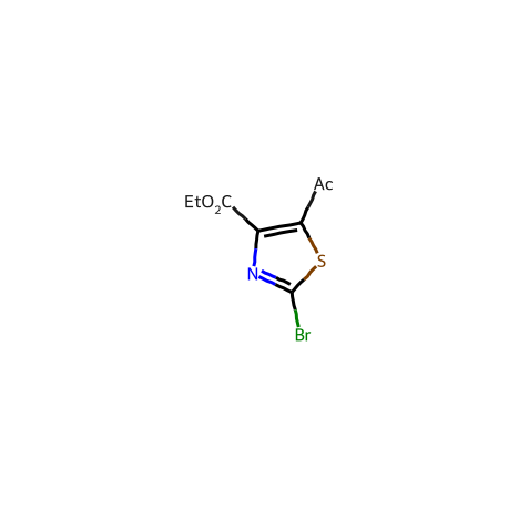 CCOC(=O)c1nc(Br)sc1C(C)=O